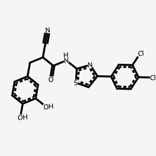 N#CC(Cc1ccc(O)c(O)c1)C(=O)Nc1nc(-c2ccc(Cl)c(Cl)c2)cs1